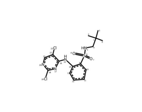 CC(C)(C)CNS(=O)(=O)c1ccccc1Nc1nc(Cl)ncc1Cl